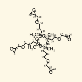 C[Si]1(CCCOCC2CO2)O[Si](C)(CCCOCC2CO2)O[Si](C)(CCOCC2CO2)O[Si](C)(CCCOCC2CO2)O1